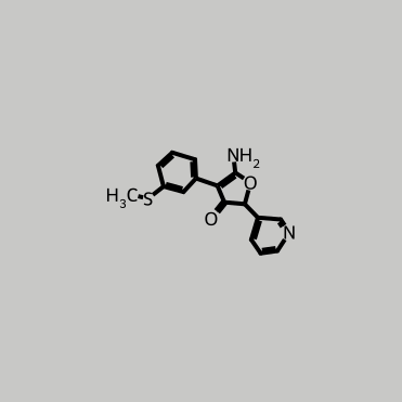 CSc1cccc(C2=C(N)OC(c3cccnc3)C2=O)c1